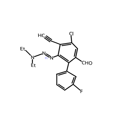 C#Cc1c(Cl)cc(C=O)c(-c2cccc(F)c2)c1/N=N/N(CC)CC